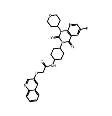 O=C(COc1cnc2ccccc2c1)NC1CCC(n2c(=O)c3cc(F)cnc3n(C3CCSCC3)c2=O)CC1